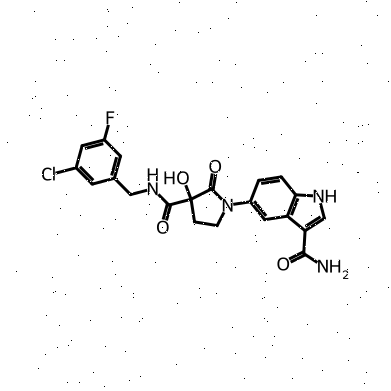 NC(=O)c1c[nH]c2ccc(N3CCC(O)(C(=O)NCc4cc(F)cc(Cl)c4)C3=O)cc12